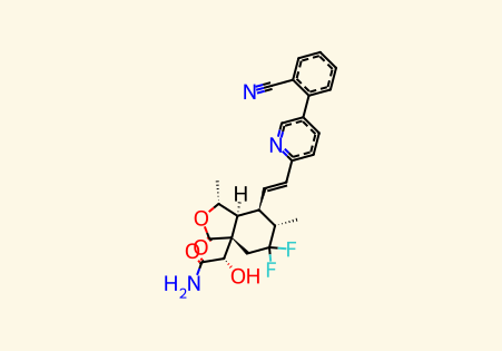 C[C@H]1OC(=O)[C@]2([C@H](O)C(N)=O)CC(F)(F)[C@@H](C)[C@H](C=Cc3ccc(-c4ccccc4C#N)cn3)[C@H]12